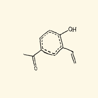 C=Cc1cc(C(C)=O)ccc1O